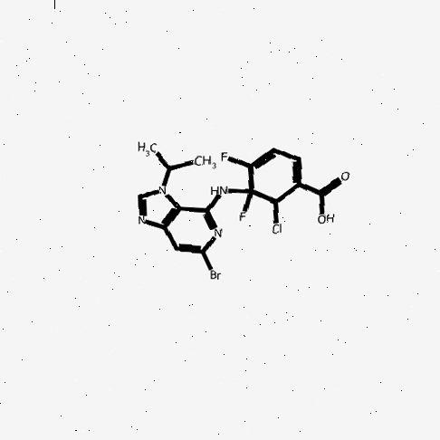 CC(C)n1cnc2cc(Br)nc(NC3(F)C(F)=CC=C(C(=O)O)C3Cl)c21